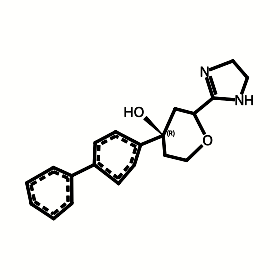 O[C@]1(c2ccc(-c3ccccc3)cc2)CCOC(C2=NCCN2)C1